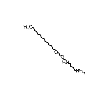 CCCCCCCCCCCCCCOCCOCCNCCCCN